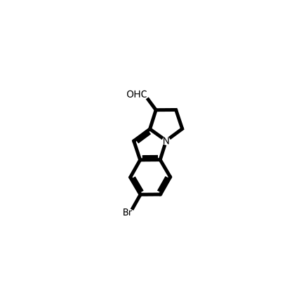 O=CC1CCn2c1cc1cc(Br)ccc12